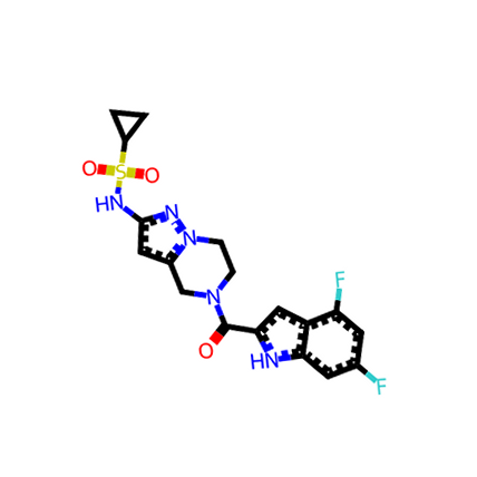 O=C(c1cc2c(F)cc(F)cc2[nH]1)N1CCn2nc(NS(=O)(=O)C3CC3)cc2C1